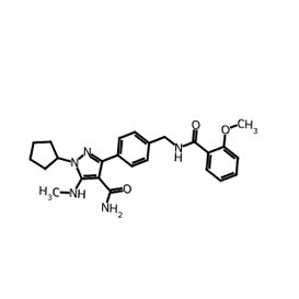 CNc1c(C(N)=O)c(-c2ccc(CNC(=O)c3ccccc3OC)cc2)nn1C1CCCC1